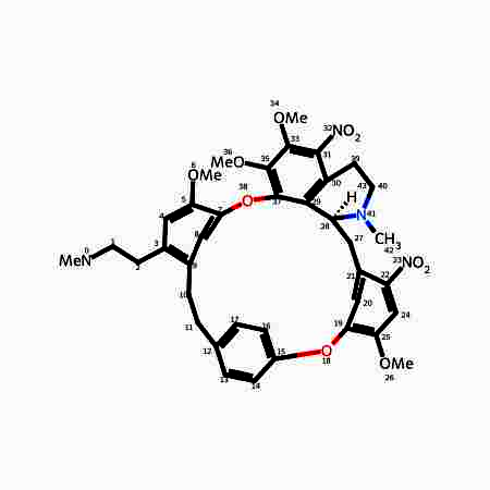 CNCCc1cc(OC)c2cc1CCc1ccc(cc1)Oc1cc(c([N+](=O)[O-])cc1OC)C[C@H]1c3c(c([N+](=O)[O-])c(OC)c(OC)c3O2)CCN1C